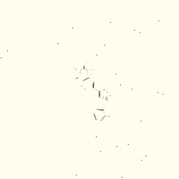 CC(C)Cn1c(C=Cc2cnn(Cc3ccccc3F)c2)c([N+](=O)[O-])c(=O)n(CC(C)C)c1=O